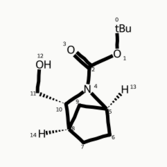 CC(C)(C)OC(=O)N1[C@H]2CC[C@H](C2)[C@@H]1CO